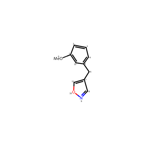 COc1cccc(Cc2[c]noc2)c1